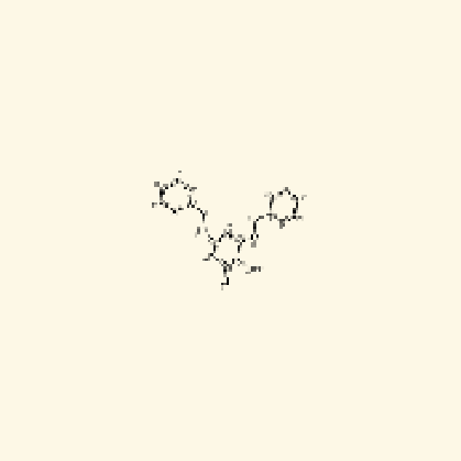 CC(C)c1c(Cl)nc(OCc2ccccc2)nc1OCc1ccccc1